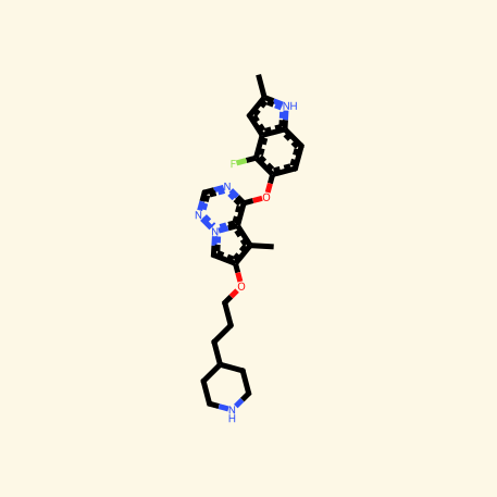 Cc1cc2c(F)c(Oc3ncnn4cc(OCCCC5CCNCC5)c(C)c34)ccc2[nH]1